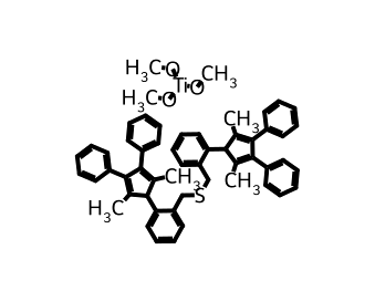 CC1=C(c2ccccc2)C(c2ccccc2)=C(C)C1c1ccccc1CSCc1ccccc1C1C(C)=C(c2ccccc2)C(c2ccccc2)=C1C.C[O][Ti]([O]C)[O]C